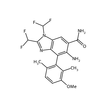 COc1ccc(C)c(-c2c(N)c(C(N)=O)cc3c2nc(C(F)F)n3C(F)F)c1C